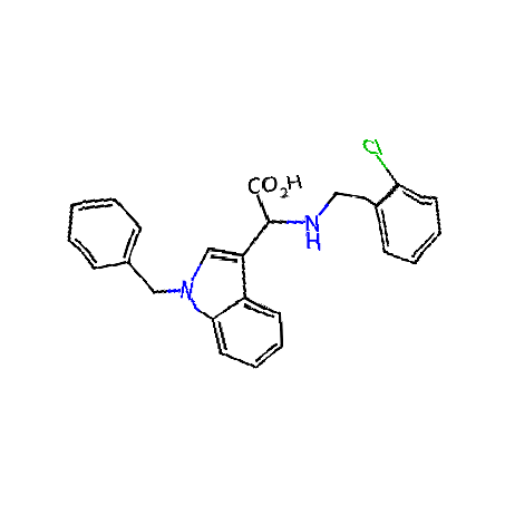 O=C(O)C(NCc1ccccc1Cl)c1cn(Cc2ccccc2)c2ccccc12